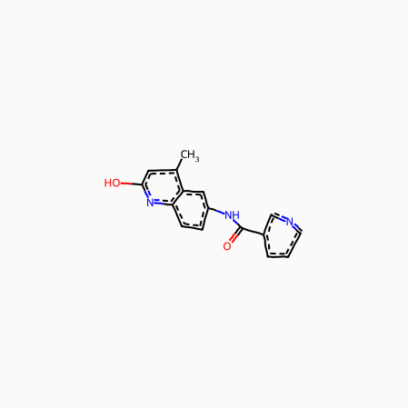 Cc1cc(O)nc2ccc(NC(=O)c3cccnc3)cc12